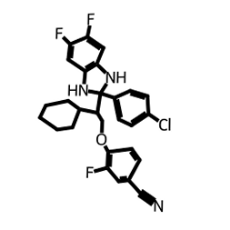 N#Cc1ccc(OCC(C2CCCCC2)C2(c3ccc(Cl)cc3)Nc3cc(F)c(F)cc3N2)c(F)c1